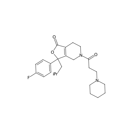 CC(C)CC1(c2ccc(F)cc2)OC(=O)C2=C1CN(C(=O)CCN1CCCCC1)CC2